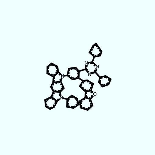 c1ccc(-c2nc(-c3ccccc3)nc(-c3ccc(-n4c5ccccc5c5cc6c7ccccc7n(-c7ccccc7)c6cc54)cc3-c3ccc4oc5ccccc5c4c3)n2)cc1